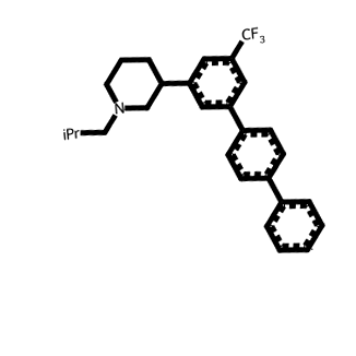 CC(C)CN1CCCC(c2cc(-c3ccc(-c4cc[c]cc4)cc3)cc(C(F)(F)F)c2)C1